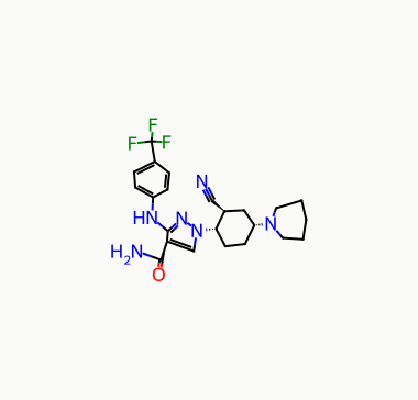 N#C[C@H]1C[C@H](N2CCCCC2)CC[C@@H]1n1cc(C(N)=O)c(Nc2ccc(C(F)(F)F)cc2)n1